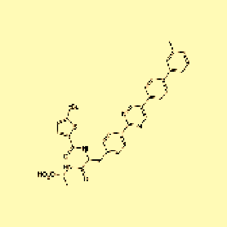 Cc1cccc(-c2ccc(-c3cnc(-c4ccc(C[C@H](NC(=O)c5ccc(C(C)(C)C)s5)C(=O)N[C@H](C)C(=O)O)cc4)nc3)cc2)c1